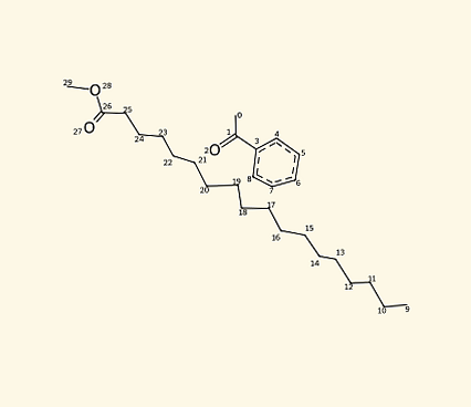 CC(=O)c1ccccc1.CCCCCCCCCCCCCCCCCC(=O)OC